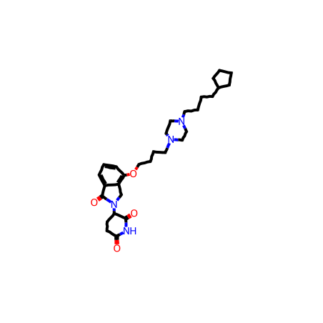 O=C1CCC(N2Cc3c(OCCCCN4CCN(CCCCC5CCCC5)CC4)cccc3C2=O)C(=O)N1